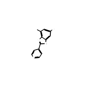 Cc1cc(Br)cc2[nH]c(-c3ccncc3)nc12